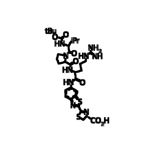 CC(C)C(NC(=O)OC(C)(C)C)C(=O)N1CCCC1C(=O)NC(CCCNC(=N)N)C(=O)Nc1ccc2nc(C3=N[C@@H](C(=O)O)CS3)sc2c1